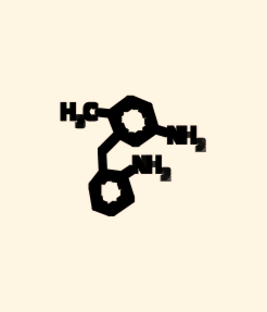 Cc1ccc(N)cc1Cc1ccccc1N